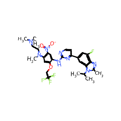 Cc1nc2c(F)cc(-c3ccnc(Nc4cc([N+](=O)[O-])c(N(C)CCN(C)C)cc4OCC(F)(F)F)n3)cc2n1C(C)C